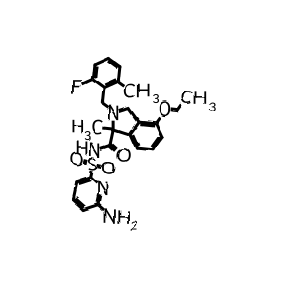 CCOc1cccc2c1CN(Cc1c(C)cccc1F)C2(C)C(=O)NS(=O)(=O)c1cccc(N)n1